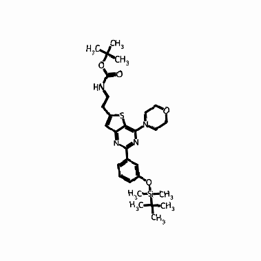 CC(C)(C)OC(=O)NCCc1cc2nc(-c3cccc(O[Si](C)(C)C(C)(C)C)c3)nc(N3CCOCC3)c2s1